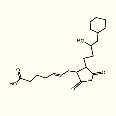 O=C(O)CCCC=CCC1C(=O)CC(=O)C1CCC(O)CC1CCCCC1